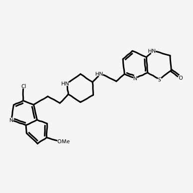 COc1ccc2ncc(Cl)c(CCC3CCC(NCc4ccc5c(n4)SC(=O)CN5)CN3)c2c1